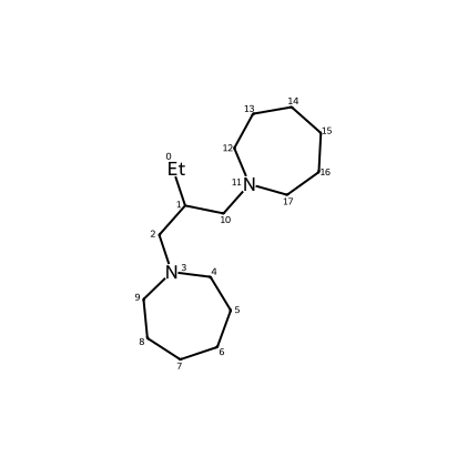 [CH2]CC(CN1CCCCCC1)CN1CCCCCC1